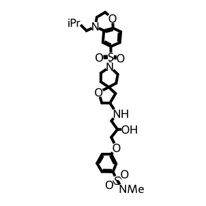 CNS(=O)(=O)c1cccc(OCC(O)CNC2COC3(CCN(S(=O)(=O)c4ccc5c(c4)N(CC(C)C)CCO5)CC3)C2)c1